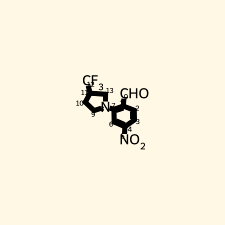 O=Cc1ccc([N+](=O)[O-])cc1N1CCC(C(F)(F)F)C1